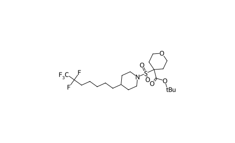 CC(C)(C)OC(=O)C1(S(=O)(=O)N2CCC(CCCCCC(F)(F)C(F)(F)F)CC2)CCOCC1